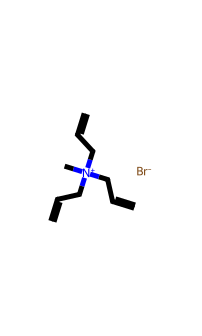 C=CC[N+](C)(CC=C)CC=C.[Br-]